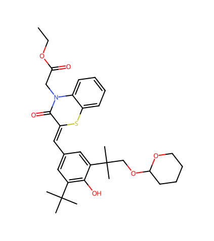 CCOC(=O)CN1C(=O)C(=Cc2cc(C(C)(C)C)c(O)c(C(C)(C)COC3CCCCO3)c2)Sc2ccccc21